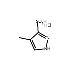 Cc1c[nH]nc1S(=O)(=O)O.Cl